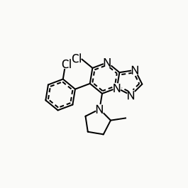 CC1CCCN1c1c(-c2ccccc2Cl)c(Cl)nc2ncnn12